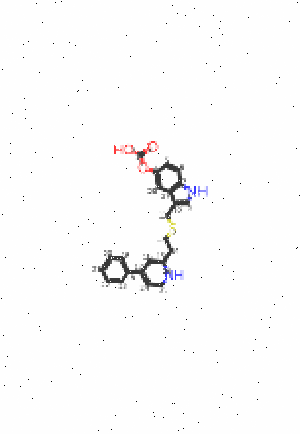 O=C(O)Oc1ccc2[nH]cc(CSCCC3CC(c4ccccc4)=CCN3)c2c1